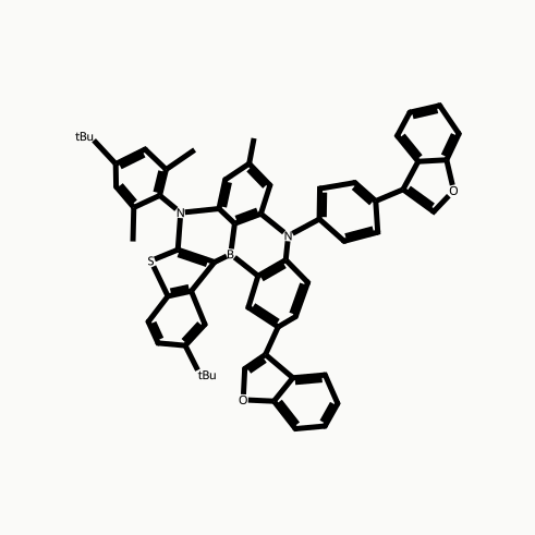 Cc1cc2c3c(c1)N(c1c(C)cc(C(C)(C)C)cc1C)c1sc4ccc(C(C)(C)C)cc4c1B3c1cc(-c3coc4ccccc34)ccc1N2c1ccc(-c2coc3ccccc23)cc1